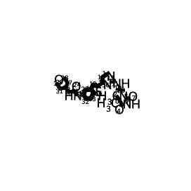 CC1(C)C(=O)NC(=O)N1CCNc1nccc(-c2cc3cc(NC(=O)CC4CCOCC4)ccc3s2)n1